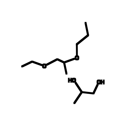 CC(O)CO.CCCOC(C)COCC